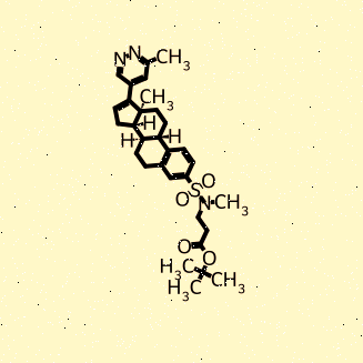 Cc1cc(C2=CC[C@H]3[C@@H]4CCc5cc(S(=O)(=O)N(C)CCC(=O)OC(C)(C)C)ccc5[C@H]4CC[C@]23C)cnn1